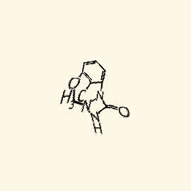 Cc1c2cccc1-n1c(=O)[nH]n1CO2